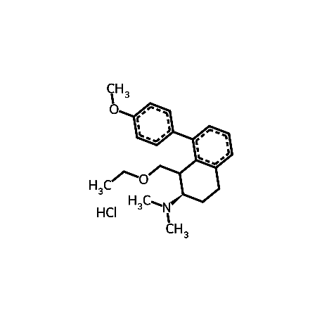 CCOCC1c2c(cccc2-c2ccc(OC)cc2)CC[C@H]1N(C)C.Cl